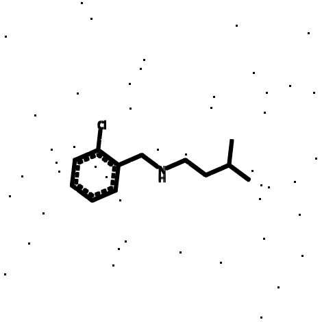 CC(C)CCNCc1ccccc1Cl